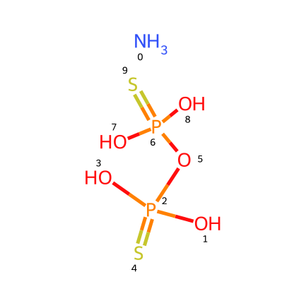 N.OP(O)(=S)OP(O)(O)=S